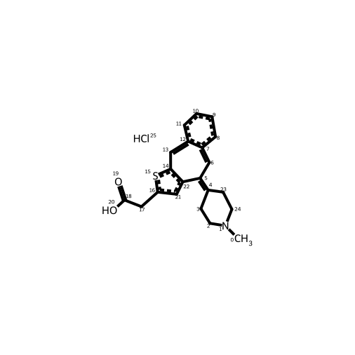 CN1CCC(=C2C=c3ccccc3=Cc3sc(CC(=O)O)cc32)CC1.Cl